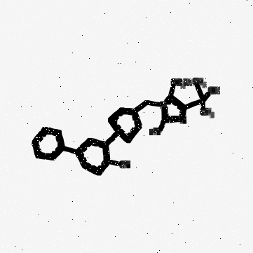 CCCc1nc(C(C)(C)O)c(C(=O)OCC)n1Cc1ccc(-c2cc(-c3ccccc3)ccc2C#N)cc1